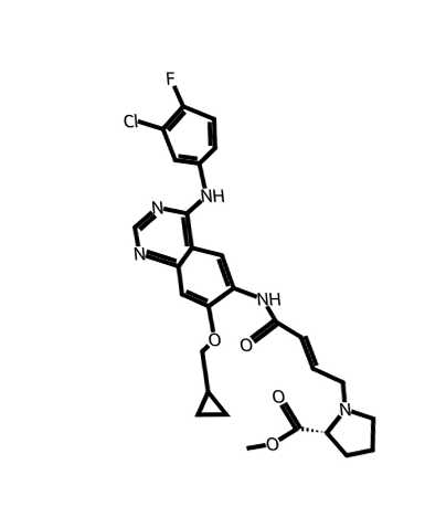 COC(=O)[C@H]1CCCN1C/C=C/C(=O)Nc1cc2c(Nc3ccc(F)c(Cl)c3)ncnc2cc1OCC1CC1